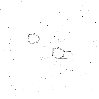 CNc1c2c(c(NC)c(OCc3ccccc3)c1NC)CO[CH]2